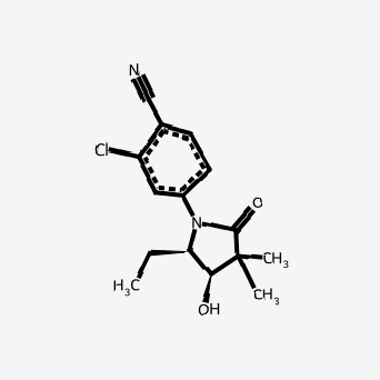 CC[C@@H]1[C@H](O)C(C)(C)C(=O)N1c1ccc(C#N)c(Cl)c1